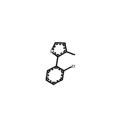 CCc1ccccc1-c1sccc1C